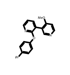 COc1ccncc1-c1cccnc1Oc1ccc(C(C)C)cc1